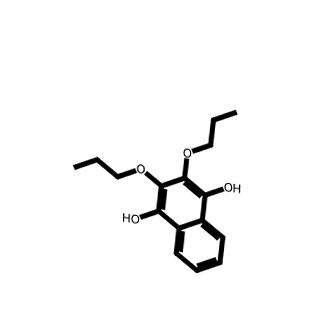 CCCOc1c(OCCC)c(O)c2ccccc2c1O